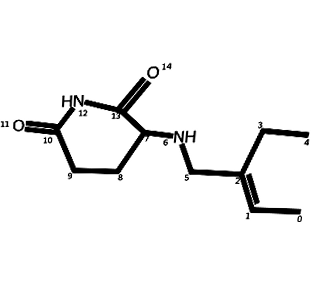 C/C=C(\CC)CNC1CCC(=O)NC1=O